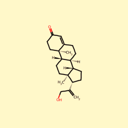 C=C(CO)[C@H]1CC[C@H]2[C@@H]3CCC4=CC(=O)CC[C@]4(C)[C@H]3CC[C@]12C